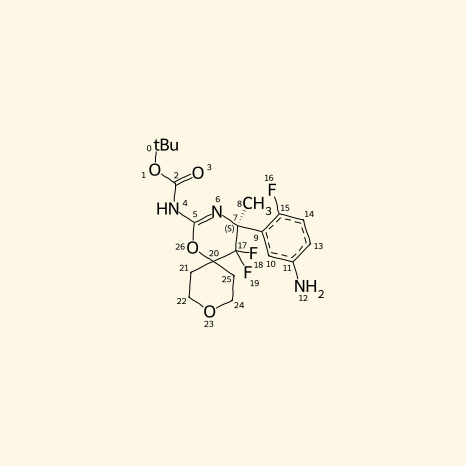 CC(C)(C)OC(=O)NC1=N[C@@](C)(c2cc(N)ccc2F)C(F)(F)C2(CCOCC2)O1